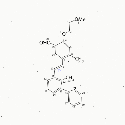 COCCOc1cc(C)c(/C=C/c2cccc(-c3ccccc3)c2C)cc1C=O